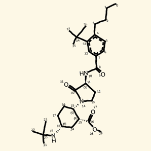 CCCCc1ccc(C(=O)N[C@H]2CCN([C@H]3CC[C@@H](NC(C)(C)C)C[C@H]3C(=O)OC)C2=O)cc1C(C)(C)C